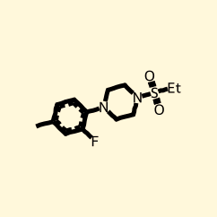 CCS(=O)(=O)N1CCN(c2ccc(C)cc2F)CC1